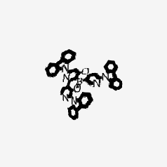 c1ccc2c(c1)c1ccccc1n2-c1cc2c(cn1)B1Oc3c(ccnc3-n3c4ccccc4c4ccccc43)-c3nc(-n4c5ccccc5c5ccccc54)cc(c31)O2